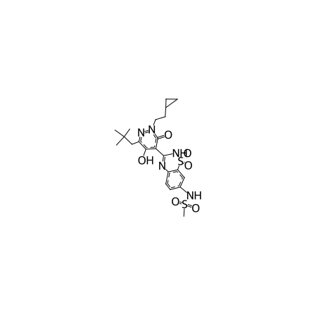 CC(C)(C)Cc1nn(CCC2CC2)c(=O)c(C2=Nc3ccc(NS(C)(=O)=O)cc3S(=O)(=O)N2)c1O